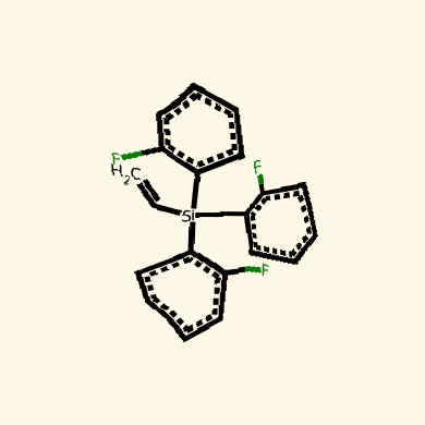 C=C[Si](c1ccccc1F)(c1ccccc1F)c1ccccc1F